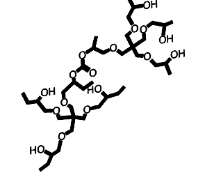 CCC(O)COCC(COCC(O)CC)(COCC(O)CC)COCC(CC)OC(=O)OC(C)COCC(COCC(C)O)(COCC(C)O)COCC(C)O